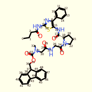 CCCC(=O)Nc1nc(-c2ccccc2)c(NC(=O)[C@@H]2CCCN2C(=O)CNC(=O)CN(C)C(=O)OCC2c3ccccc3-c3ccccc32)s1